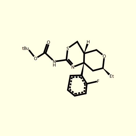 CC[C@H]1C[C@]2(c3ccccc3F)N=C(NC(=O)OC(C)(C)C)SC[C@@H]2CO1